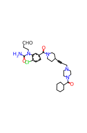 NC(=O)N(CCC=O)c1cc(C(=O)N2CCC(C#CCN3CCN(C(=O)C4CCCCC4)CC3)CC2)ccc1Cl